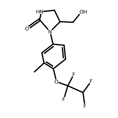 Cc1cc(N2C(=O)NCC2CO)ccc1OC(F)(F)C(F)F